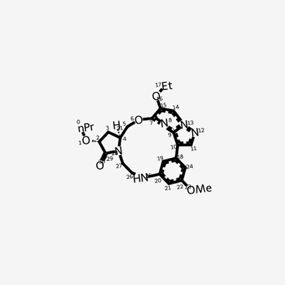 CCCO[C@@H]1C[C@H]2COc3nc4c(cnn4cc3OCC)-c3cc(cc(OC)c3)NCCN2C1=O